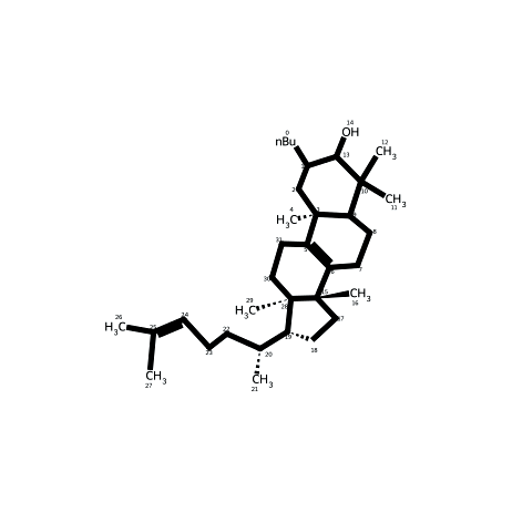 CCCCC1C[C@]2(C)C3=C(CCC2C(C)(C)C1O)[C@]1(C)CC[C@H]([C@H](C)CCC=C(C)C)[C@@]1(C)CC3